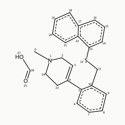 CN1CC=C(c2ccccc2CSc2cccc3ccccc23)CC1.O=CO